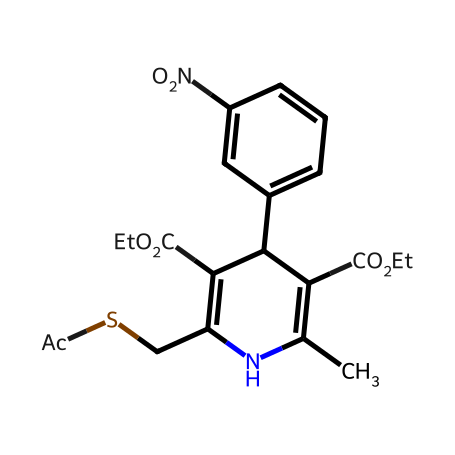 CCOC(=O)C1=C(C)NC(CSC(C)=O)=C(C(=O)OCC)C1c1cccc([N+](=O)[O-])c1